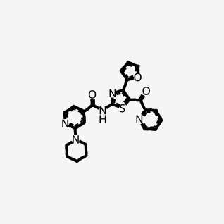 O=C(Nc1nc(-c2ccco2)c(C(=O)c2ccccn2)s1)c1ccnc(N2CCCCC2)c1